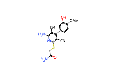 COc1ccc(-c2c(C#N)c(N)nc(SCC(N)=O)c2C#N)cc1O